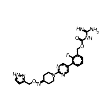 N=C(N)NC(=O)OCc1cccc(-c2cnc(N3CCC(=NOCc4cc[nH]n4)CC3)nc2)c1F